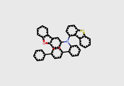 c1ccc(-c2ccc(-c3ccccc3N(c3ccc4oc5ccccc5c4c3)c3cccc4sc5ccccc5c34)cc2)cc1